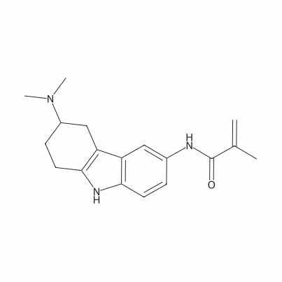 C=C(C)C(=O)Nc1ccc2[nH]c3c(c2c1)CC(N(C)C)CC3